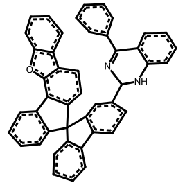 c1ccc(C2=NC(c3ccc4c(c3)C3(c5ccccc5-4)c4ccccc4-c4c3ccc3c4oc4ccccc43)Nc3ccccc32)cc1